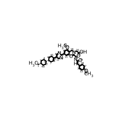 CC[C@H]1CC[C@H](C2CC=C(c3cnc(-c4ccc(CN(CC(=O)O)C(=O)CNC(=O)Cc5ccc(OC)cc5)c(OC)c4)nc3)CC2)CC1